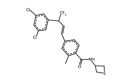 Cc1cc(/C=C/C(c2cc(Cl)cc(Cl)c2)C(F)(F)F)ccc1C(=O)NC1CSC1